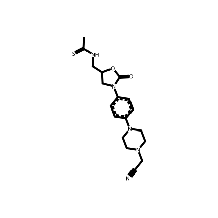 CC(=S)NCC1CN(c2ccc(N3CCN(CC#N)CC3)cc2)C(=O)O1